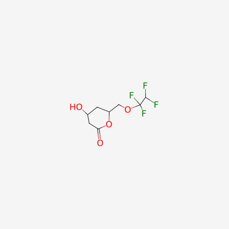 O=C1CC(O)CC(COC(F)(F)C(F)F)O1